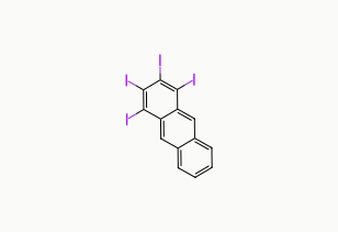 Ic1c(I)c(I)c2cc3ccccc3cc2c1I